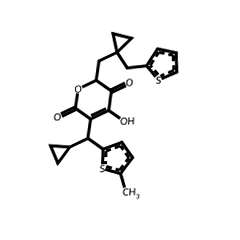 Cc1ccc(C(C2=C(O)C(=O)C(CC3(Cc4cccs4)CC3)OC2=O)C2CC2)s1